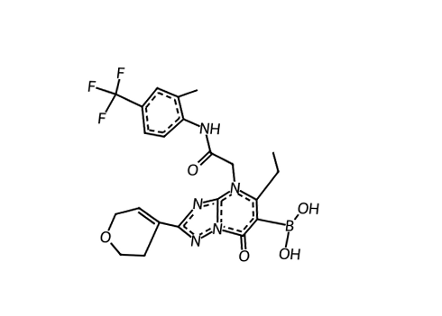 CCc1c(B(O)O)c(=O)n2nc(C3=CCOCC3)nc2n1CC(=O)Nc1ccc(C(F)(F)F)cc1C